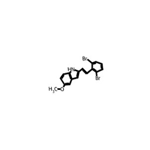 COc1ccc2[nH]c(C=Cc3c(Br)cccc3Br)cc2c1